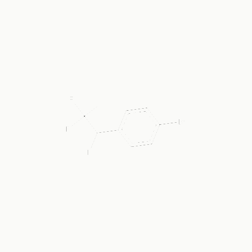 FC(c1ccc(Br)cc1)C(F)(F)F